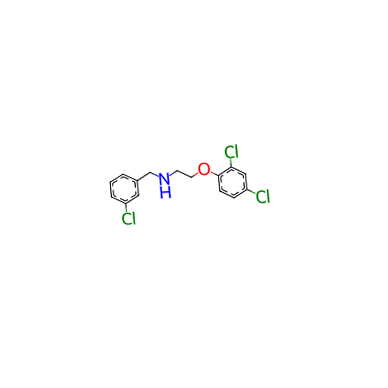 Clc1cccc(CNCCOc2ccc(Cl)cc2Cl)c1